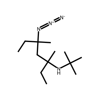 CCC(C)(CC(C)(CC)NC(C)(C)C)N=[N+]=[N-]